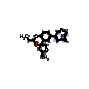 CCC1Oc2ccc(C3=C/C=C/C=C/N=C\3)cc2C2(COC(N)=N2)C12COC2